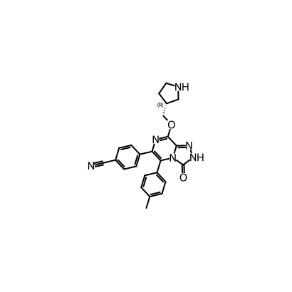 Cc1ccc(-c2c(-c3ccc(C#N)cc3)nc(OC[C@@H]3CCNC3)c3n[nH]c(=O)n23)cc1